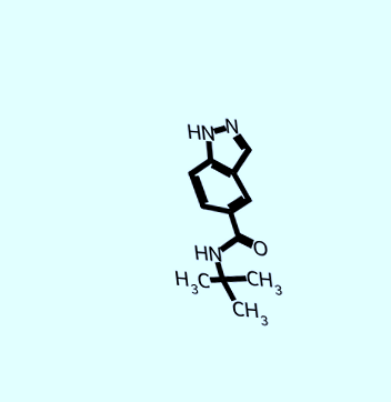 CC(C)(C)NC(=O)c1ccc2[nH]ncc2c1